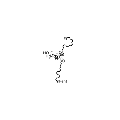 CC/C=C\C/C=C\C/C=C\C/C=C\C/C=C\CCCC(=O)O[C@H](COC(=O)CCCCC/C=C\C/C=C\C/C=C\C/C=C\CCCCC)COP(=O)(O)OC[C@H](N)C(=O)O